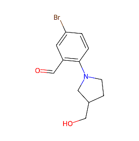 O=Cc1cc(Br)ccc1N1CCC(CO)C1